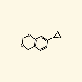 c1cc2c(cc1C1CC1)OCOC2